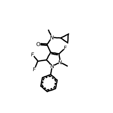 CN(C(=O)C1=C(F)N(C)N(c2ccccc2)C1C(F)F)C1CC1